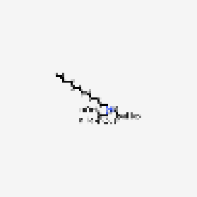 C/C=C/CCCCCCCCCN(CC(CCCCCC)CCCCCCCC)CC(CCCCCC)CCCCCCCC